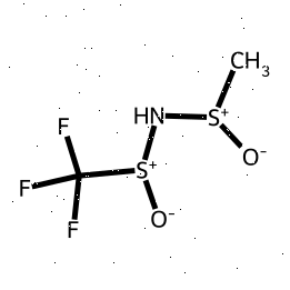 C[S+]([O-])N[S+]([O-])C(F)(F)F